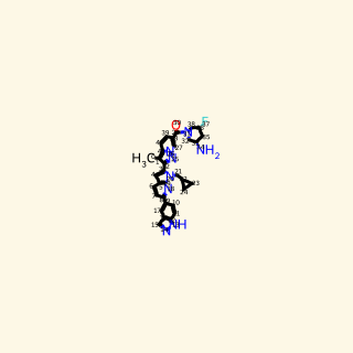 Cc1c(-c2cc3ccc(-c4ccc5[nH]ncc5c4)nc3n2CC2CC2)nn2cc(C(=O)N3C[C@H](N)C[C@@H](F)C3)ccc12